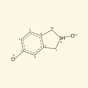 Clc1ccc2c(c1)C[SH](Cl)C2